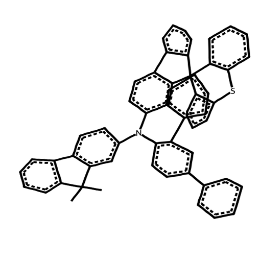 CC1(C)c2ccccc2-c2ccc(N(c3ccc4c(c3)C3(c5ccccc5Sc5ccccc53)c3ccccc3-4)c3ccc(-c4ccccc4)cc3-c3ccccc3)cc21